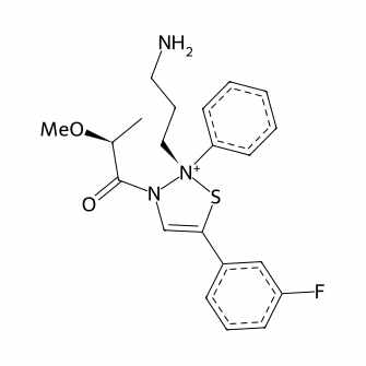 CO[C@@H](C)C(=O)N1C=C(c2cccc(F)c2)S[N@@+]1(CCCN)c1ccccc1